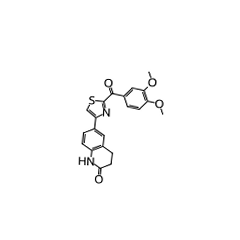 COc1ccc(C(=O)c2nc(-c3ccc4c(c3)CCC(=O)N4)cs2)cc1OC